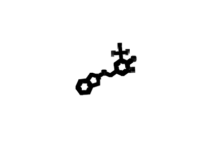 O=c1[nH]cc(CON2Cc3ccccc3C2)cc1C(F)(F)F